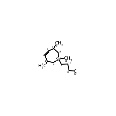 CC1C=CC(C)C[Si](C)(CCCCl)C1